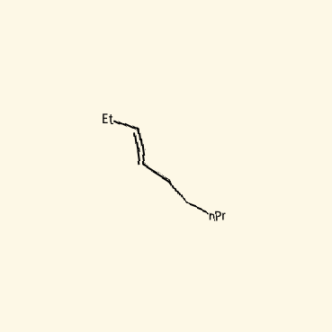 [CH2]CC=CCCCC[CH2]